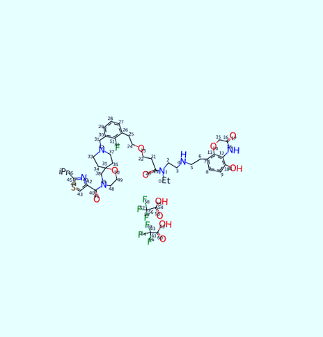 CCN(CCNCCc1ccc(O)c2c1OCC(=O)N2)C(=O)CCOCCc1cccc(CN2CCC3(CC2)CN(C(=O)c2csc(C(C)C)n2)CCO3)c1F.O=C(O)C(F)(F)F.O=C(O)C(F)(F)F